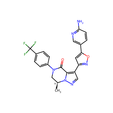 C[C@H]1CN(c2ccc(C(F)(F)F)cc2)C(=O)c2c(-c3cc(-c4ccc(N)nc4)on3)cnn21